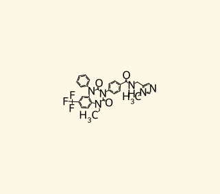 CCN1C(=O)N(c2ccc(C(=O)NCc3cncn3C)cc2)C(=O)N(c2ccccc2)c2cc(C(F)(F)F)ccc21